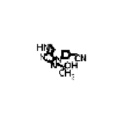 C[C@@H](O)c1nc2cnc3[nH]ccc3c2n1C1CCC(CC#N)C1